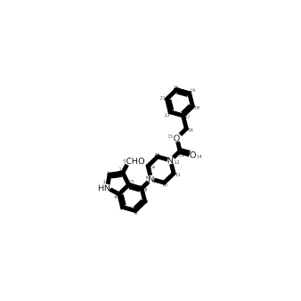 O=Cc1c[nH]c2cccc(N3CCN(C(=O)OCc4ccccc4)CC3)c12